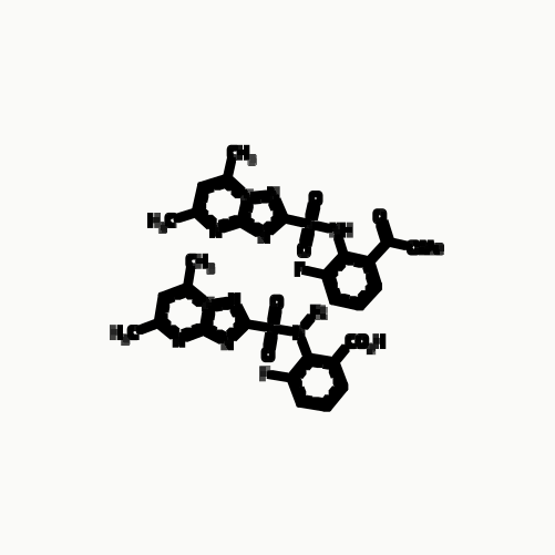 CCN(c1c(F)cccc1C(=O)O)S(=O)(=O)c1nc2nc(C)cc(C)n2n1.COC(=O)c1cccc(F)c1NS(=O)(=O)c1nc2nc(C)cc(C)n2n1